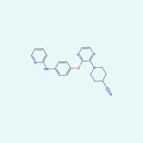 N#CC1CCN(c2nccnc2Oc2ccc(Nc3ccccn3)cc2)CC1